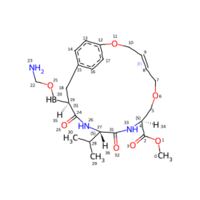 COC(=O)[C@@H]1COC/C=C/COc2ccc(cc2)C[C@H](BOCN)C(=O)N[C@@H](C(C)C)C(=O)N1